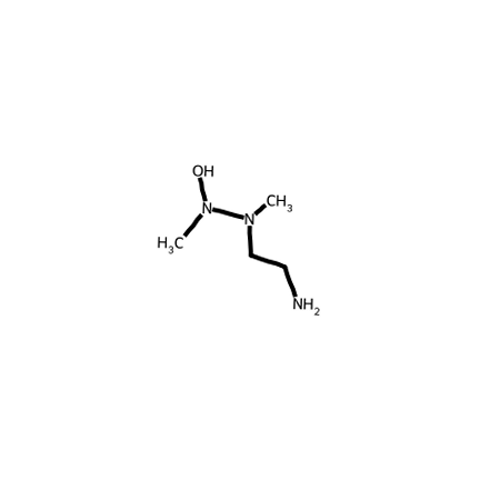 CN(O)N(C)CCN